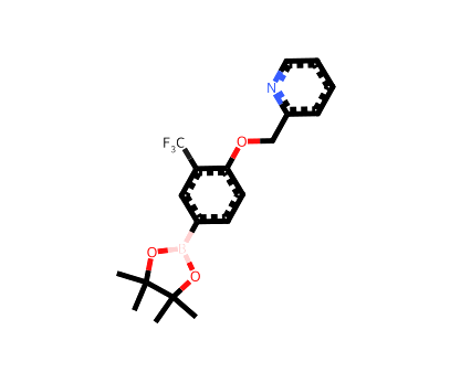 CC1(C)OB(c2ccc(OCc3ccccn3)c(C(F)(F)F)c2)OC1(C)C